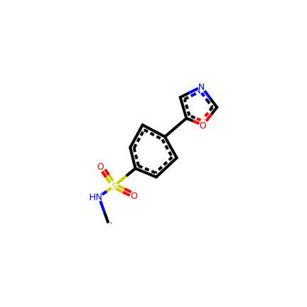 [CH2]NS(=O)(=O)c1ccc(-c2cnco2)cc1